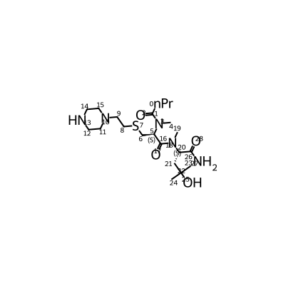 CCCC(=O)N(C)[C@H](CSCCN1CCNCC1)C(=O)N(C)[C@@H](CC(C)(C)O)C(N)=O